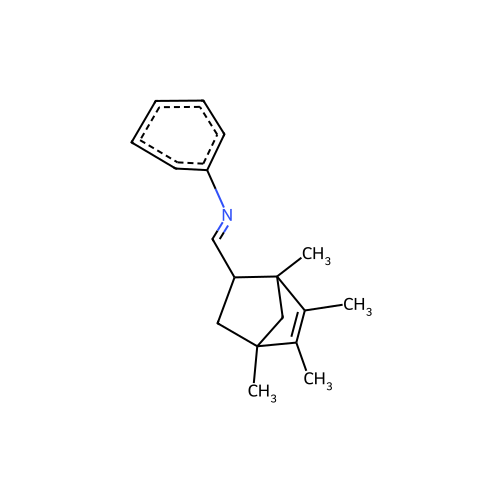 CC1=C(C)C2(C)CC1(C)CC2C=Nc1ccccc1